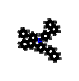 c1ccc(-c2ccc(N(c3ccc(-c4cccc5ccccc45)cc3)c3cc(-c4ccc5ccccc5c4)ccc3-c3ccc4ccccc4c3)cc2)cc1